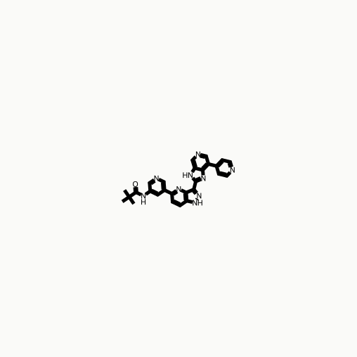 CC(C)(C)C(=O)Nc1cncc(-c2ccc3[nH]nc(-c4nc5c(-c6ccncc6)cncc5[nH]4)c3n2)c1